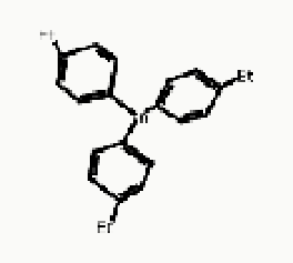 CCc1cc[c]([In]([c]2ccc(CC)cc2)[c]2ccc(CC)cc2)cc1